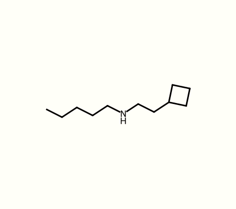 CCCCCNCCC1CCC1